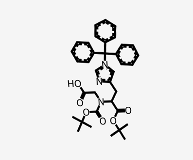 CC(C)(C)OC(=O)C(Cc1cn(C(c2ccccc2)(c2ccccc2)c2ccccc2)cn1)N(CC(=O)O)C(=O)OC(C)(C)C